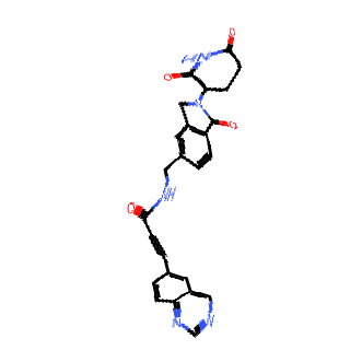 O=C(C#Cc1ccc2ncncc2c1)NCc1ccc2c(c1)CN(C1CCC(=O)NC1=O)C2=O